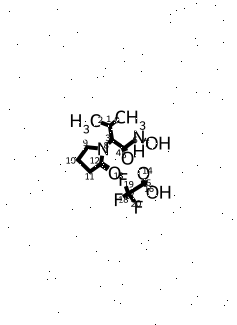 CC(C)C(C(=O)NO)N1CCCC1=O.O=C(O)C(F)(F)F